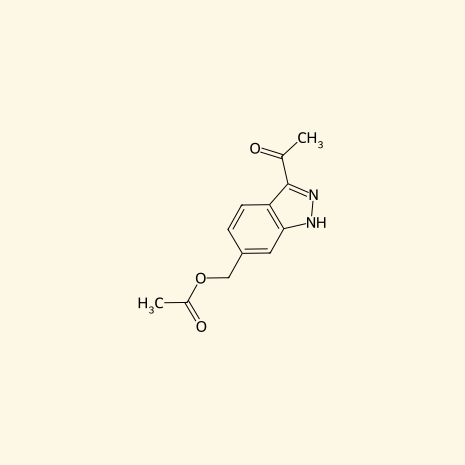 CC(=O)OCc1ccc2c(C(C)=O)n[nH]c2c1